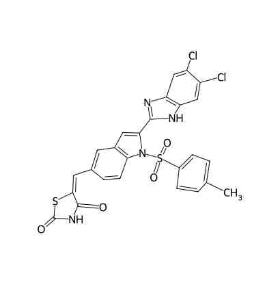 Cc1ccc(S(=O)(=O)n2c(-c3nc4cc(Cl)c(Cl)cc4[nH]3)cc3cc(/C=C4/SC(=O)NC4=O)ccc32)cc1